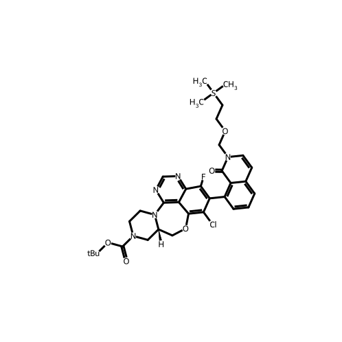 CC(C)(C)OC(=O)N1CCN2c3ncnc4c(F)c(-c5cccc6ccn(COCCS(C)(C)C)c(=O)c56)c(Cl)c(c34)OC[C@@H]2C1